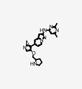 Cc1cc(Nc2cc3cc(-c4c(OCC5CCCN5)cnn4C)ccn3n2)nc(C)n1